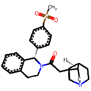 CS(=O)(=O)c1ccc([C@H]2c3ccccc3CCN2C(=O)C[C@@H]2CN3CCC2CC3)cc1